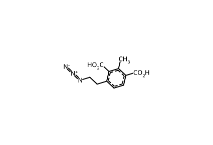 Cc1c(C(=O)O)ccc(CCN=[N+]=[N-])c1C(=O)O